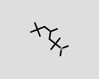 CC(CC(C)(C)C)CC(C)(C)N(C)C